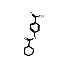 O=C(O)c1ccc(OC(=O)C2CCCCC2)cc1